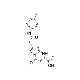 O=C(Cc1cc2[nH]c(C(=O)O)cc(=O)n2n1)Nc1ccc(F)cn1